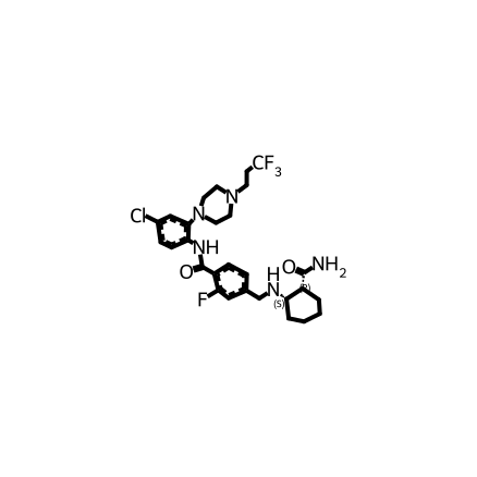 NC(=O)[C@@H]1CCCC[C@@H]1NCc1ccc(C(=O)Nc2ccc(Cl)cc2N2CCN(CCC(F)(F)F)CC2)c(F)c1